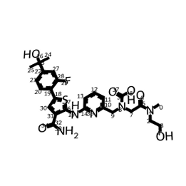 CN(CCO)C(=O)CN(Cc1cccc(Nc2sc(-c3ccc(C(C)(C)O)cc3F)cc2C(N)=O)n1)C(=O)O